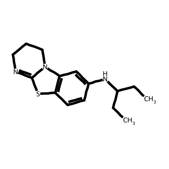 CCC(CC)Nc1ccc2c(c1)N1CCCN=C1S2